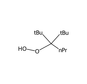 CCCC(OO)(C(C)(C)C)C(C)(C)C